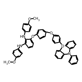 COc1ccc(Nc2cccc(Oc3ccc(Oc4ccc(Oc5ccccc5N(c5ccccc5)c5ccccc5)cc4)cc3)c2Nc2ccc(OC)cc2)cc1